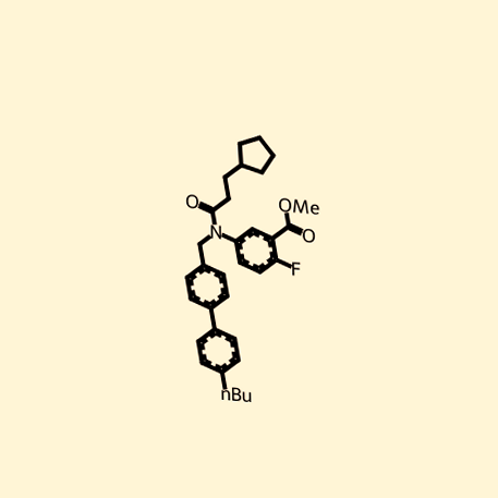 CCCCc1ccc(-c2ccc(CN(C(=O)CCC3CCCC3)c3ccc(F)c(C(=O)OC)c3)cc2)cc1